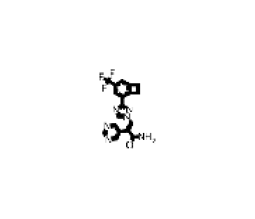 NC(=O)/C(=C/n1cnc(-c2cc(C(F)(F)F)cc3c2CC3)n1)c1cncnc1